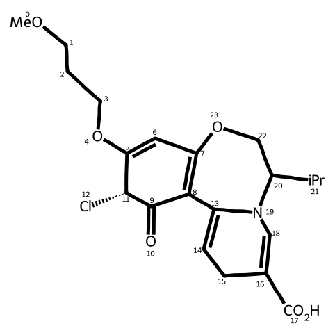 COCCCOC1=CC2=C(C(=O)[C@@H]1Cl)C1=CCC(C(=O)O)=CN1C(C(C)C)CO2